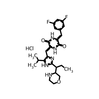 CCC(c1nc(/C=c2\[nH]c(=O)/c(=C/c3cc(F)cc(F)c3)[nH]c2=O)c(C(C)C)[nH]1)C1COCCN1.Cl